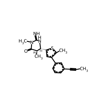 CC#Cc1cccc(-c2cc([C@H]3NC(=N)N(C)C(=O)[C@@H]3C)sc2C)c1